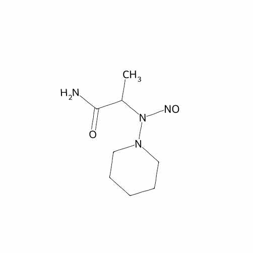 CC(C(N)=O)N(N=O)N1CCCCC1